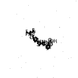 O=C(Cn1nc(C(F)F)cc1C(F)F)N1CCC(c2nc(C3=NO[C@H](c4ccccc4CS(=O)(=O)O)C3)cs2)CC1